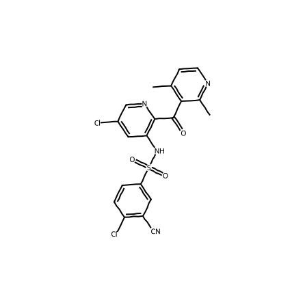 Cc1ccnc(C)c1C(=O)c1ncc(Cl)cc1NS(=O)(=O)c1ccc(Cl)c(C#N)c1